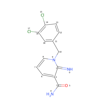 N=c1c(C(N)=O)cccn1Cc1ccc(Cl)c(Cl)c1